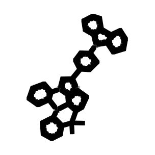 CC1(C)c2ccccc2N(c2ccccc2-n2cc(-c3ccc(-n4c5ccccc5c5ccccc54)cc3)nn2)c2ccccc21